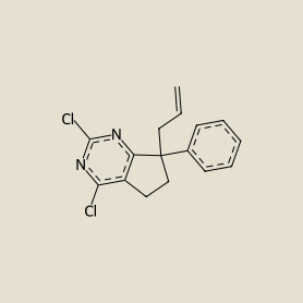 C=CCC1(c2ccccc2)CCc2c(Cl)nc(Cl)nc21